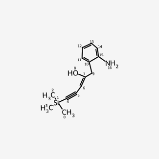 C[Si](C)(C)C#CC=C(O)Cc1ccccc1N